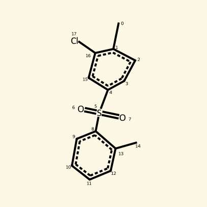 Cc1ccc(S(=O)(=O)c2ccccc2C)cc1Cl